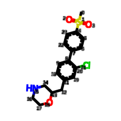 CS(=O)(=O)c1ccc(-c2ccc(CC3CNCCO3)cc2Cl)cc1